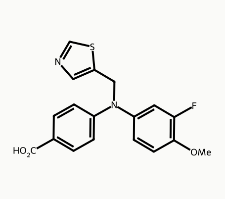 COc1ccc(N(Cc2cncs2)c2ccc(C(=O)O)cc2)cc1F